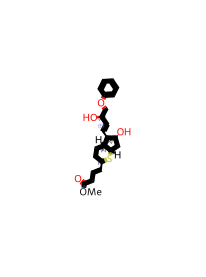 COC(=O)CCC[C@H]1CC[C@@H]2[C@@H](/C=C/[C@@H](O)COc3ccccc3)[C@H](O)C[C@@H]2S1